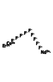 [Ce+3].[Er+3].[F-].[F-].[F-].[F-].[F-].[F-].[F-].[F-].[F-].[Nd+3]